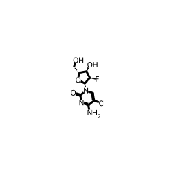 Nc1nc(=O)n([C@@H]2O[C@H](CO)[C@@H](O)[C@H]2F)cc1Cl